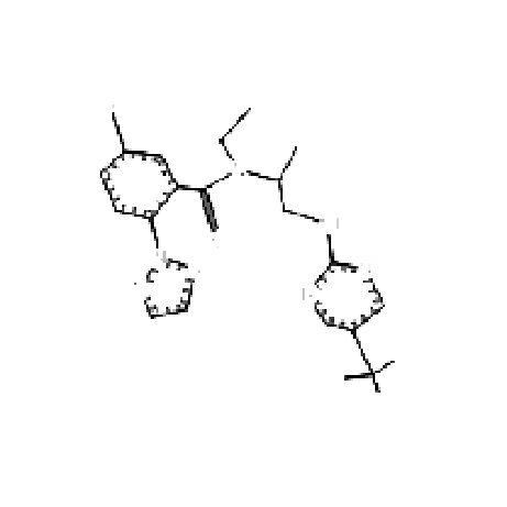 CCN(C(=O)c1cc(Br)ccc1-n1nccn1)C(C)CNc1ncc(C(F)(F)F)cn1